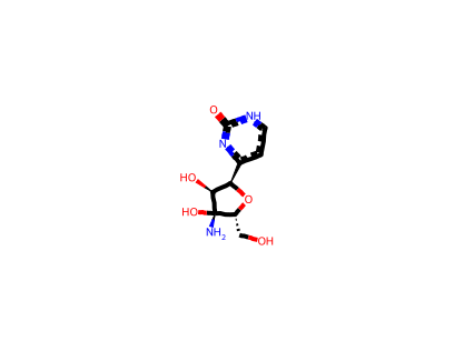 N[C@]1(O)[C@@H](CO)O[C@H](c2cc[nH]c(=O)n2)[C@@H]1O